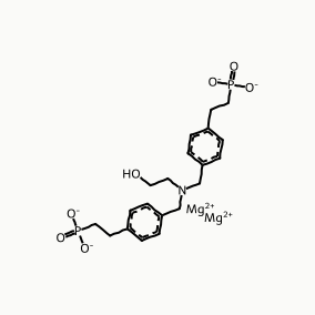 O=P([O-])([O-])CCc1ccc(CN(CCO)Cc2ccc(CCP(=O)([O-])[O-])cc2)cc1.[Mg+2].[Mg+2]